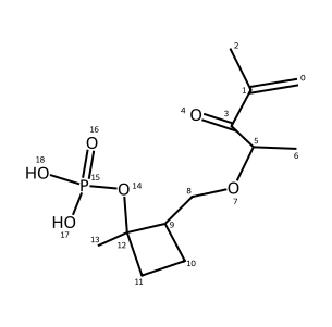 C=C(C)C(=O)C(C)OCC1CCC1(C)OP(=O)(O)O